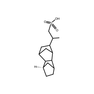 CC(CS(=O)(=O)O)C1CC2CC1C1C3CC[C@H](C3)C21